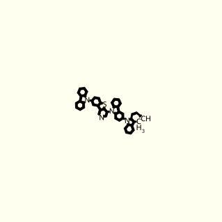 C#C/C=C\c1c(C)c2ccccc2n1-c1ccc2c(c1)c1ccccc1n2-c1cncc2c1sc1ccc(-n3c4ccccc4c4ccccc43)cc12